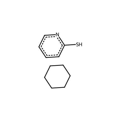 C1CCCCC1.Sc1ccccn1